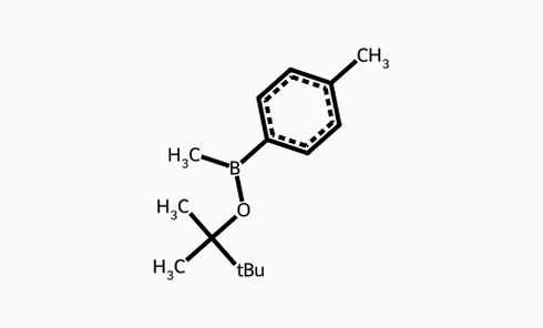 CB(OC(C)(C)C(C)(C)C)c1ccc(C)cc1